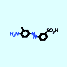 Cc1cc(/N=N/c2cccc(S(=O)(=O)O)c2)ccc1N